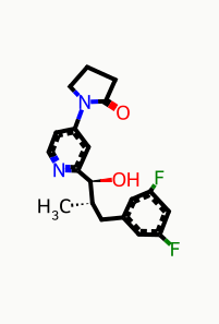 C[C@@H](Cc1cc(F)cc(F)c1)[C@H](O)c1cc(N2CCCC2=O)ccn1